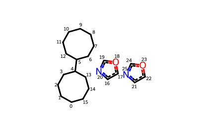 C1CCCC(C2CCCCCCC2)CCC1.c1cocn1.c1cocn1